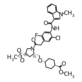 COC(=O)[C@H]1CC[C@H](OC[C@@H]2C[C@H](S(C)(=O)=O)CN2C(=O)Cc2cc(Cl)c(NC(=O)c3cn(C)c4ccccc34)cc2F)CC1